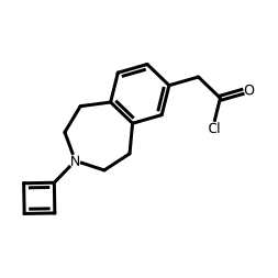 O=C(Cl)Cc1ccc2c(c1)CCN(C1=CC=C1)CC2